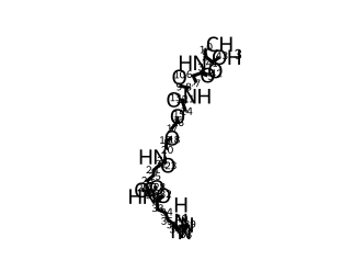 CCC(NC(=O)CC[C@@H](C=O)NC(=O)COCCOCCNC(=O)CCCS(=O)(=O)NC(=O)CCCc1nnn[nH]1)C(=O)O